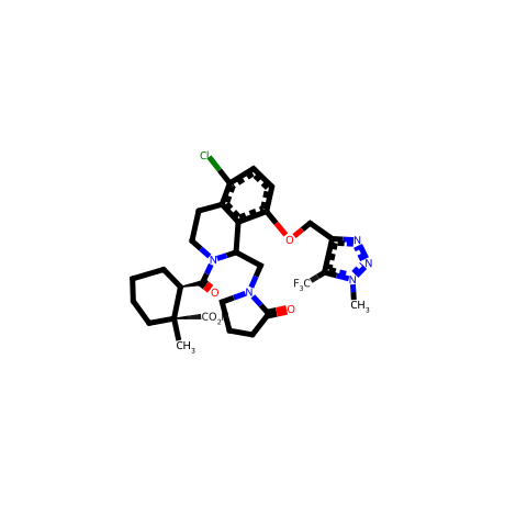 Cn1nnc(COc2ccc(Cl)c3c2C(CN2CCCC2=O)N(C(=O)[C@@H]2CCCC[C@]2(C)C(=O)O)CC3)c1C(F)(F)F